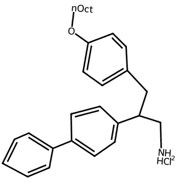 CCCCCCCCOc1ccc(CC(CN)c2ccc(-c3ccccc3)cc2)cc1.Cl